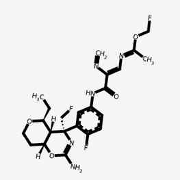 C=N/C(=C\N=C(/C)OCF)C(=O)Nc1ccc(F)c([C@@]2(CF)N=C(N)O[C@@H]3CCO[C@@H](CC)[C@@H]32)c1